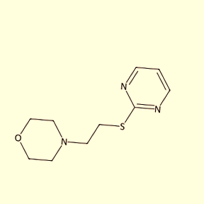 c1cnc(SCCN2CCOCC2)nc1